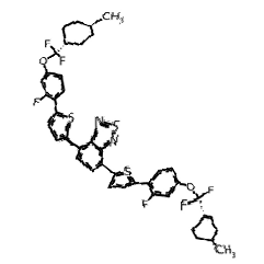 C[C@H]1CC[C@H](C(F)(F)Oc2ccc(-c3ccc(-c4ccc(-c5ccc(-c6ccc(OC(F)(F)[C@H]7CC[C@H](C)CC7)cc6F)s5)c5nsnc45)s3)c(F)c2)CC1